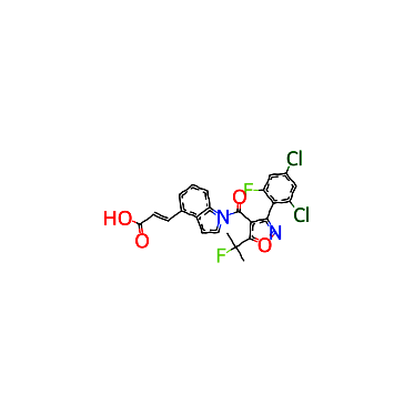 CC(C)(F)c1onc(-c2c(F)cc(Cl)cc2Cl)c1C(=O)n1ccc2c(/C=C/C(=O)O)cccc21